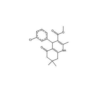 COC(=O)C1=C(C)NC2=C(C(=O)CC(C)(C)C2)C1c1cccc(Cl)c1